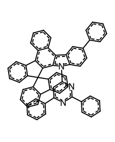 c1ccc(-c2ccc3c(c2)c2c4ccccc4c4c(c2n3-c2cc(-c3ccccc3)nc(-c3ccccc3)n2)C2(c3ccccc3-c3ccccc32)c2ccccc2-4)cc1